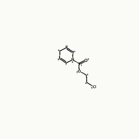 O=C(OCCCl)N1C=CCC=C1